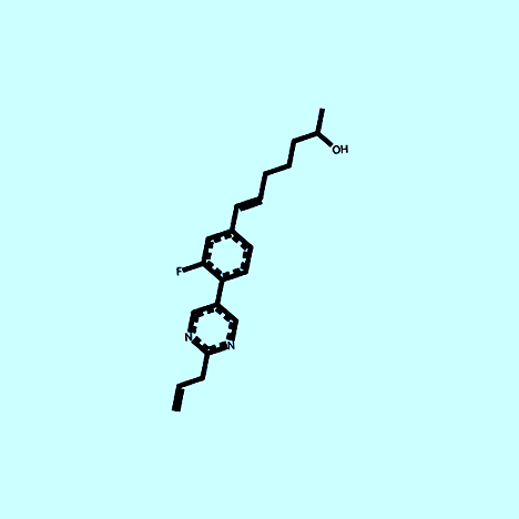 C=CCc1ncc(-c2ccc(C=CCCCC(C)O)cc2F)cn1